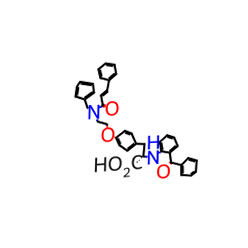 O=C(c1ccccc1)c1ccccc1N[C@@H](Cc1ccc(OCCN(Cc2ccccc2)C(=O)/C=C/c2ccccc2)cc1)C(=O)O